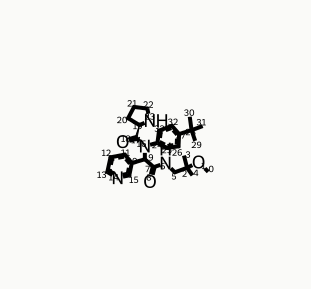 COC(C)(C)CNC(=O)C(c1cccnc1)N(C(=O)[C@H]1CCCN1)c1ccc(C(C)(C)C)cc1